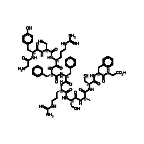 C[C@H](NC(=O)[C@H](CO)NC(=O)[C@H](CCCNC(=N)N)NC(=O)[C@H](Cc1ccccc1)NC(=O)[C@H](Cc1ccccc1)NC(=O)[C@H](CCCNC(=N)N)NC(=O)[C@H](CS)NC(=O)[C@H](Cc1ccc(O)cc1)NC(=O)CN)C(=O)N[C@@H](CS)C(=O)N[C@@H](Cc1ccccc1)C(=O)NCC(=O)O